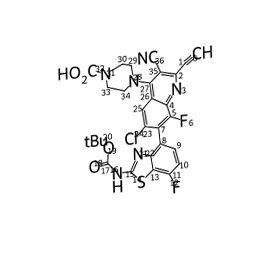 C#Cc1nc2c(F)c(-c3ccc(F)c4sc(NC(=O)OC(C)(C)C)nc34)c(Cl)cc2c(N2CCN(C(=O)O)CC2)c1C#N